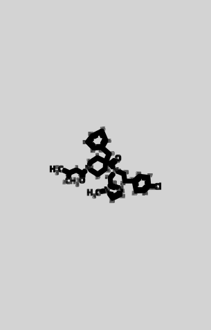 CC(C)CC(=O)N1CCC(Cc2ccccc2)(C(=O)N(CCc2ccc(Cl)cc2)Cc2nccn2C)CC1